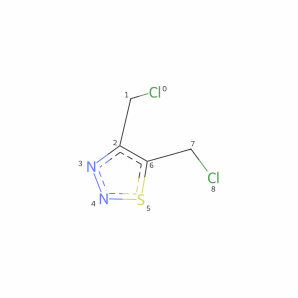 ClCc1nnsc1CCl